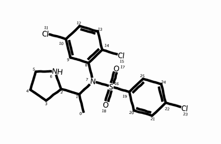 CC(C1CCCN1)N(c1cc(Cl)ccc1Cl)S(=O)(=O)c1ccc(Cl)cc1